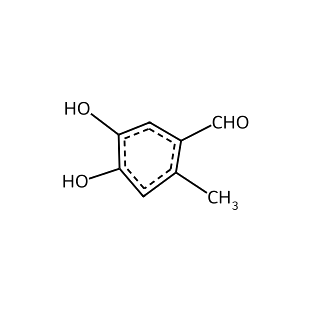 Cc1cc(O)c(O)cc1C=O